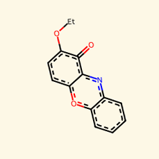 CCOc1ccc2oc3ccccc3nc-2c1=O